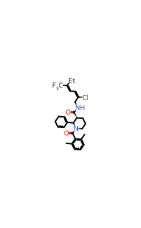 CC/C(=C\C=C(\Cl)CNC(=O)[C@H]1CCCN(C(=O)c2c(C)cccc2C)C1C1=CCCC=C1)C(F)(F)F